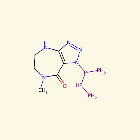 CN1CCNc2nnn(P(P)PP)c2C1=O